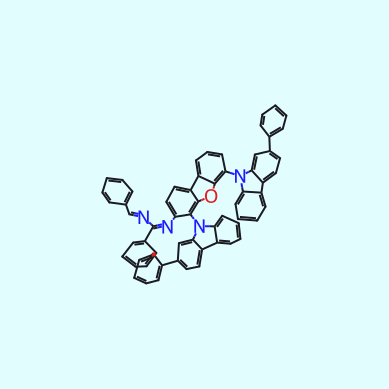 C(=N\C(=N/c1ccc2c(oc3c(-n4c5ccccc5c5ccc(-c6ccccc6)cc54)cccc32)c1-n1c2ccccc2c2ccc(-c3ccccc3)cc21)c1ccccc1)/c1ccccc1